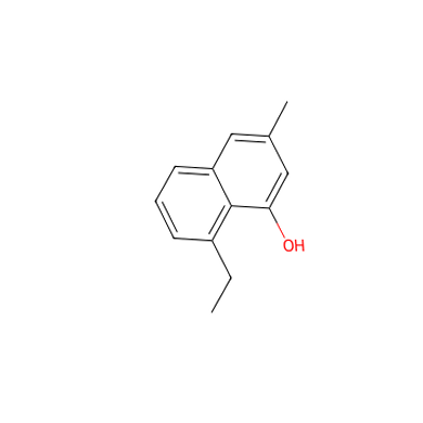 CCc1cccc2cc(C)cc(O)c12